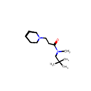 CN(CC(C)(C)C)C(=O)CCN1CCCCC1